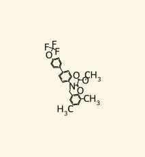 COC(=O)C(=O)N(Cc1cc(C)cc(C)c1)c1ccc(-c2ccc(OC(F)(F)F)cc2)cc1